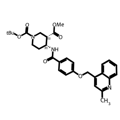 COC(=O)[C@H]1CN(C(=O)OC(C)(C)C)CC[C@H]1NC(=O)c1ccc(OCc2cc(C)nc3ccccc23)cc1